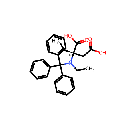 CCN(C(c1ccccc1)(c1ccccc1)c1ccccc1)[C@@](CC)(CC(=O)O)C(=O)O